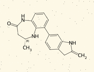 C=C1Cc2ccc(-c3cccc4c3N[C@H](C)CC(=O)N4)cc2N1